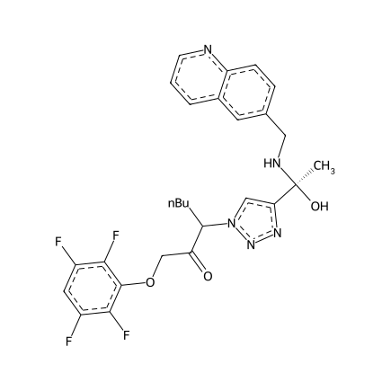 CCCCC(C(=O)COc1c(F)c(F)cc(F)c1F)n1cc([C@](C)(O)NCc2ccc3ncccc3c2)nn1